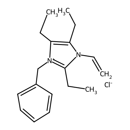 C=Cn1c(CC)c(CC)[n+](Cc2ccccc2)c1CC.[Cl-]